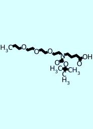 CCCOCCOCCOCCN(CCCC(=O)O)C(=O)OC(C)(C)C